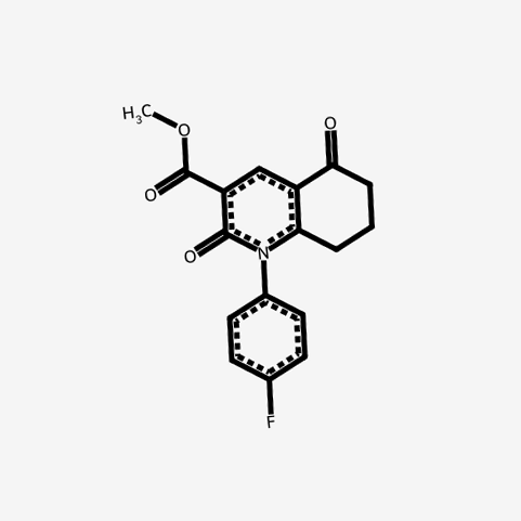 COC(=O)c1cc2c(n(-c3ccc(F)cc3)c1=O)CCCC2=O